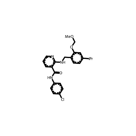 COCOc1cc(C(C)C)ccc1CNc1ncccc1C(=O)Nc1ccc(Cl)cc1